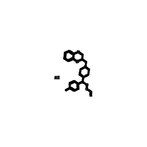 C=COOC(c1ccc(C)cc1)C1CCN(CC2COc3ccccc3O2)CC1.Cl